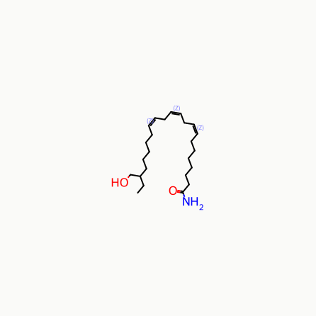 CCC(CO)CCCCC/C=C\C/C=C\C/C=C\CCCCCCC(N)=O